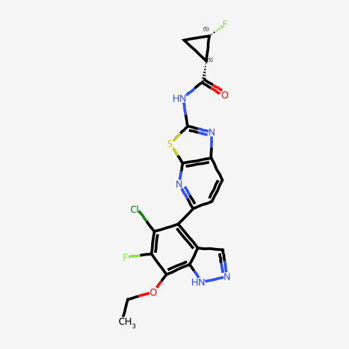 CCOc1c(F)c(Cl)c(-c2ccc3nc(NC(=O)[C@@H]4C[C@@H]4F)sc3n2)c2cn[nH]c12